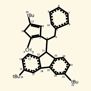 CC1=C(C(Cc2ccccc2)C2c3ccc(C(C)(C)C)cc3-c3cc(C(C)(C)C)ccc32)C=C(C(C)(C)C)C1